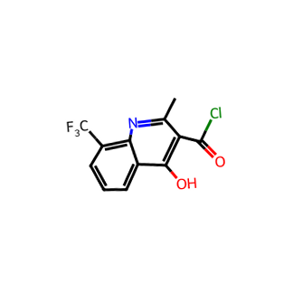 Cc1nc2c(C(F)(F)F)cccc2c(O)c1C(=O)Cl